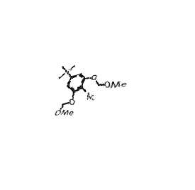 COCOc1cc([N+](C)(C)C)cc(OCOC)c1C(C)=O